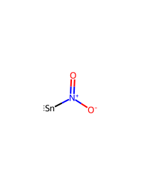 O=[N+]([O-])[Sn]